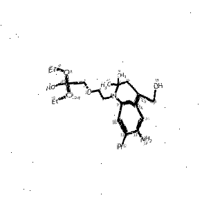 CCOC(O)(COCCN1c2cc(C(C)C)c(N)cc2C(CO)CC1(C)C)OCC